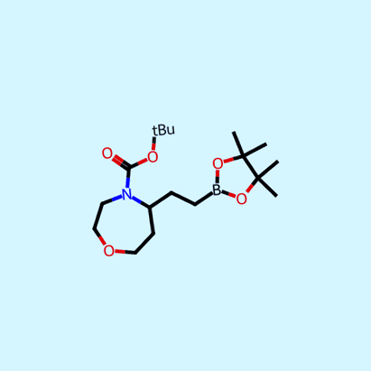 CC(C)(C)OC(=O)N1CCOCCC1CCB1OC(C)(C)C(C)(C)O1